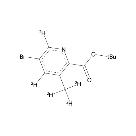 [2H]c1nc(C(=O)OC(C)(C)C)c(C([2H])([2H])[2H])c([2H])c1Br